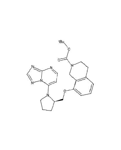 CC(C)(C)OC(=O)N1CCc2cccc(OC[C@H]3CCCN3c3ccnc4ncnn34)c2C1